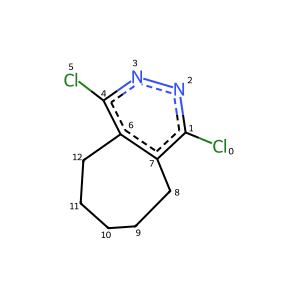 Clc1nnc(Cl)c2c1CCCCC2